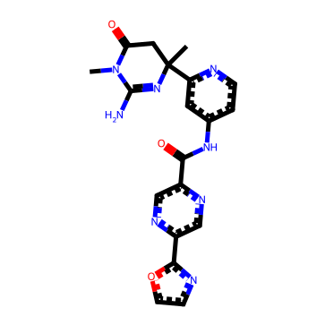 CN1C(=O)CC(C)(c2cc(NC(=O)c3cnc(-c4ncco4)cn3)ccn2)N=C1N